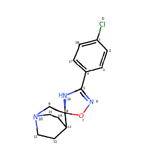 Clc1ccc(C2=NO[C@]3(CN4CCC3CC4)N2)cc1